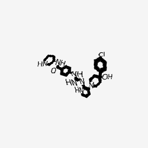 N=C(/N=c1\[nH]cccc1N1CCC(O)(c2ccc(Cl)cc2)CC1)Nc1ccc(C(=O)N[C@H]2CCCNC2)cc1